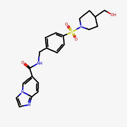 O=C(NCc1ccc(S(=O)(=O)N2CCC(CO)CC2)cc1)c1ccc2nccn2c1